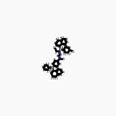 CC/C(=C\C=C(/C)c1ccc(N(c2ccccc2)c2cccc3ccccc23)cc1)N(C1=CCC(C)C=C1)c1cccc2ccccc12